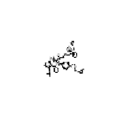 O=c1c2[nH]ccc2nc(SCCCS(=O)(=O)CC2CC2)n1-c1ccc(OCC2CC2)cc1